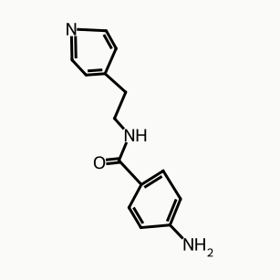 Nc1ccc(C(=O)NCCc2ccncc2)cc1